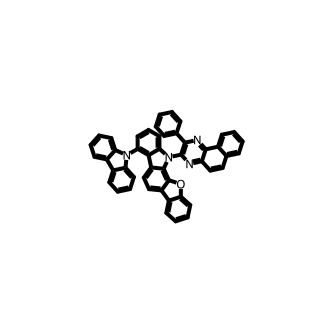 c1ccc(-c2nc3c(ccc4ccccc43)nc2-n2c3cccc(-n4c5ccccc5c5ccccc54)c3c3ccc4c5ccccc5oc4c32)cc1